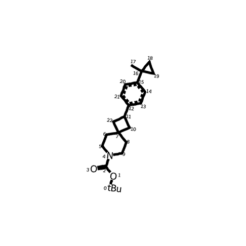 CC(C)(C)OC(=O)N1CCC2(CC1)CC(c1ccc(C3(C)CC3)cc1)C2